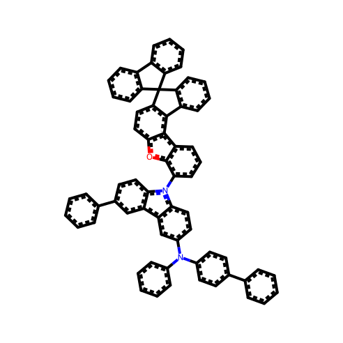 c1ccc(-c2ccc(N(c3ccccc3)c3ccc4c(c3)c3cc(-c5ccccc5)ccc3n4-c3cccc4c3oc3ccc5c(c34)-c3ccccc3C53c4ccccc4-c4ccccc43)cc2)cc1